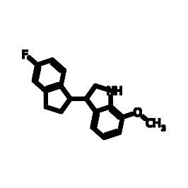 COc1cccc2c1NCC2C1CCc2cc(F)ccc21